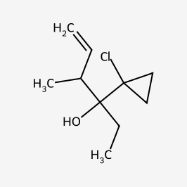 C=CC(C)C(O)(CC)C1(Cl)CC1